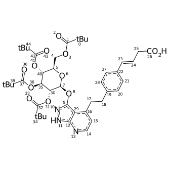 CC(C)(C)C(=O)OC[C@H]1O[C@@H](Oc2n[nH]c3nccc(CCc4ccc(/C=C/CC(=O)O)cc4)c23)[C@H](OC(=O)C(C)(C)C)[C@@H](OC(=O)C(C)(C)C)[C@@H]1OC(=O)C(C)(C)C